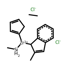 CC.C[SiH2][Zr+2]([C]1=CC=CC1)[CH]1C(C)=Cc2ccccc21.[Cl-].[Cl-]